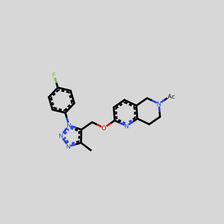 CC(=O)N1CCc2nc(OCc3c(C)nnn3-c3ccc(F)cc3)ccc2C1